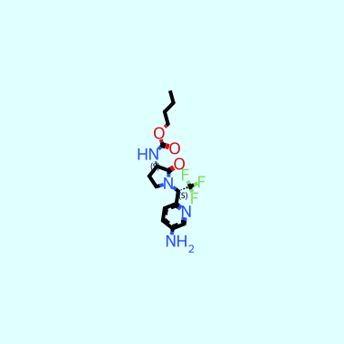 CCCCOC(=O)N[C@H]1CCN([C@@H](c2ccc(N)cn2)C(F)(F)F)C1=O